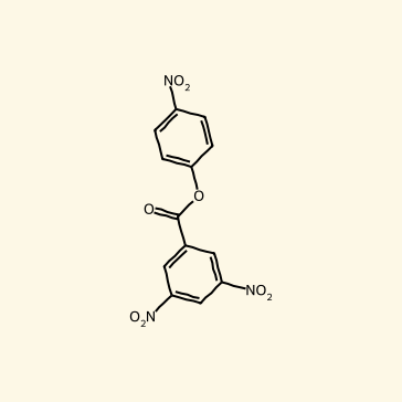 O=C(Oc1ccc([N+](=O)[O-])cc1)c1cc([N+](=O)[O-])cc([N+](=O)[O-])c1